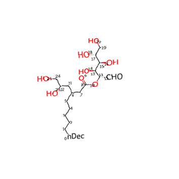 CCCCCCCCCCCCCCCC(CC(=O)O[C@@H](C=O)[C@@H](O)[C@H](O)[C@H](O)CO)CC(O)CO